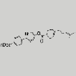 CCCCCCCCCCc1ccc(-c2ncc(OC(=O)C3CC=C(CCC=C(C)C)CC3)cn2)cc1